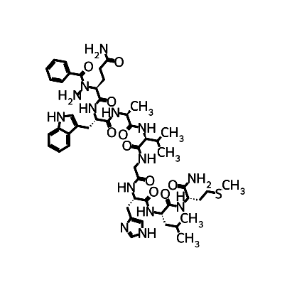 CSCC[C@H](NC(=O)[C@H](CC(C)C)NC(=O)[C@H](Cc1c[nH]cn1)NC(=O)CNC(=O)[C@@H](NC(=O)[C@H](C)NC(=O)[C@H](Cc1c[nH]c2ccccc12)NC(=O)[C@H](CCC(N)=O)N(N)C(=O)c1ccccc1)C(C)C)C(N)=O